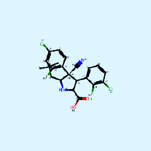 CC(C)(C)CC1NC(C(=O)O)C(c2cccc(Cl)c2F)[C@@]1(C#N)c1ccc(Cl)cc1F